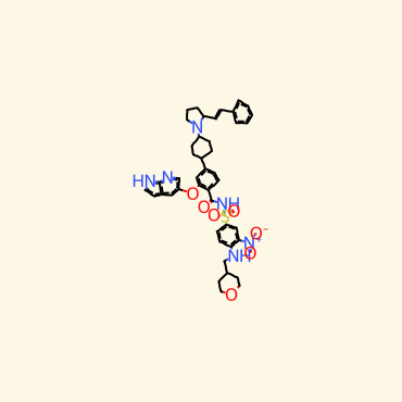 O=C(NS(=O)(=O)c1ccc(NCC2CCOCC2)c([N+](=O)[O-])c1)c1ccc(C2CCC(N3CCCC3C=Cc3ccccc3)CC2)cc1Oc1cnc2[nH]ccc2c1